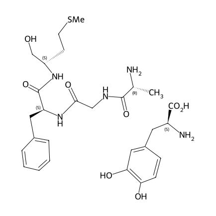 CSCC[C@@H](CO)NC(=O)[C@H](Cc1ccccc1)NC(=O)CNC(=O)[C@@H](C)N.N[C@@H](Cc1ccc(O)c(O)c1)C(=O)O